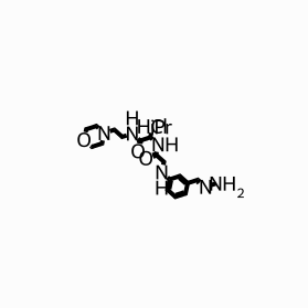 CC(C)C(NC(=O)CNc1cccc(C=NN)c1)C(=O)NCCN1CCOCC1.Cl